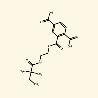 CCC(C)(C)C(=O)NCCOC(=O)c1cc(C(=O)O)ccc1C(=O)O